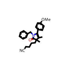 COc1ccc(C2=C(C)C(C)(CCCCC#N)C(=O)N2Cc2ccccc2)cc1